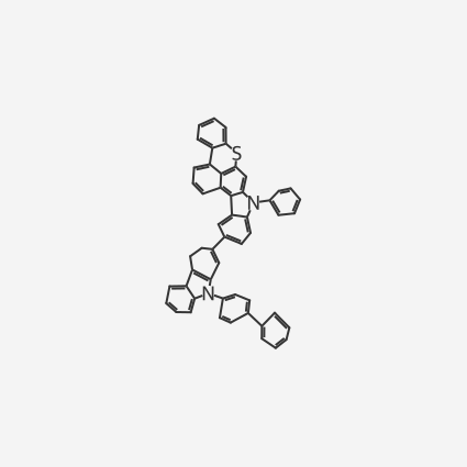 C1=C(c2ccc3c(c2)c2c4cccc5c4c(cc2n3-c2ccccc2)Sc2ccccc2-5)CCc2c1n(-c1ccc(-c3ccccc3)cc1)c1ccccc21